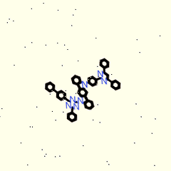 c1ccc(-c2ccc(-c3nc(-c4ccccc4)nc(-n4c5ccccc5c5cc6c(cc54)c4ccccc4n6-c4ccc(-c5nc(-c6ccccc6)cc(-c6ccccc6)n5)cc4)n3)cc2)cc1